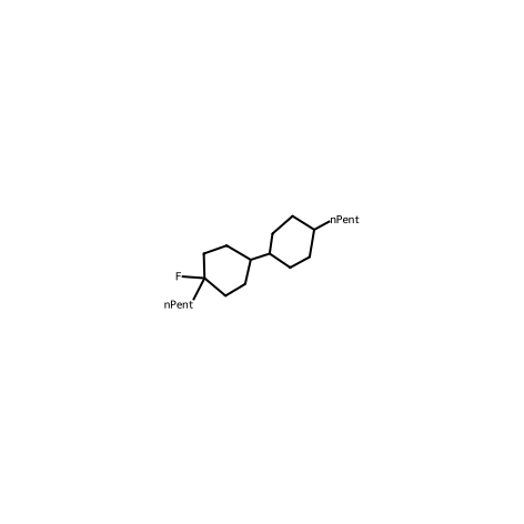 CCCCCC1CCC(C2CCC(F)(CCCCC)CC2)CC1